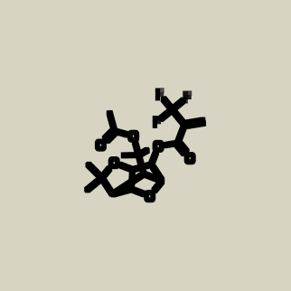 C=C(C(=O)OC1C2OC(C)(C)C3C2OC1C3C(C)(C)OC(C)=O)C(F)(F)F